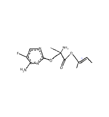 C/C=C(\C)OC(=O)C(C)(N)Oc1ncc(F)c(N)n1